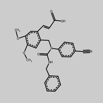 COc1cc(/C=C/C(=O)O)c(CN(C(=O)NCc2ccccc2)c2ccc(C#N)cc2)cc1OC